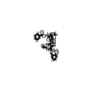 CC1(C)O[C@@H]2[C@H](O1)[C@@H](COC(=O)c1ccccc1)O[C@H]2n1ncc2c(NCc3ccccc3Cl)nc(C=O)nc21